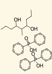 CCCC(O)C(C)C(O)CCC.O=P(O)(c1ccccc1)c1ccccc1.O=P(O)(c1ccccc1)c1ccccc1